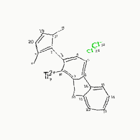 CC1=C(c2ccc3c([c]2[Ti+2])Cc2ccccc2-3)C(C)C=C1.[Cl-].[Cl-]